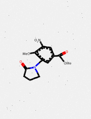 COC(=O)c1cc(N2CCCC2=O)c(OC)c([N+](=O)[O-])c1